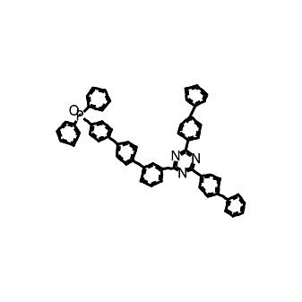 O=P(c1ccccc1)(c1ccccc1)c1ccc(-c2ccc(-c3cccc(-c4nc(-c5ccc(-c6ccccc6)cc5)nc(-c5ccc(-c6ccccc6)cc5)n4)c3)cc2)cc1